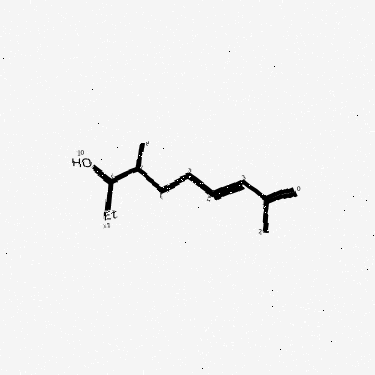 C=C(C)C=CCCC(C)C(O)CC